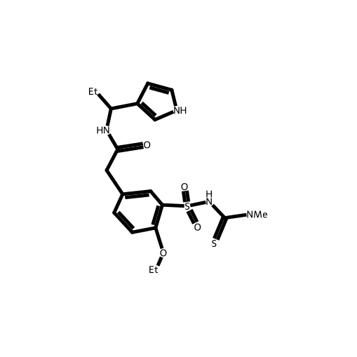 CCOc1ccc(CC(=O)NC(CC)c2cc[nH]c2)cc1S(=O)(=O)NC(=S)NC